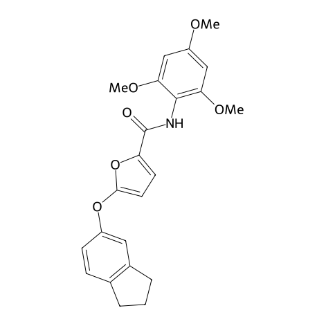 COc1cc(OC)c(NC(=O)c2ccc(Oc3ccc4c(c3)CCC4)o2)c(OC)c1